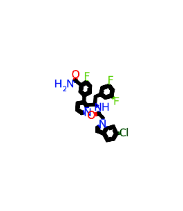 NC(=O)c1cc(-c2cccnc2C(Cc2cc(F)cc(F)c2)NC(=O)Cn2ccc3ccc(Cl)cc32)ccc1F